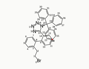 BrCCc1ccccc1-c1ccccc1-c1nnnn1C(c1ccccc1)(c1ccccc1)c1ccccc1